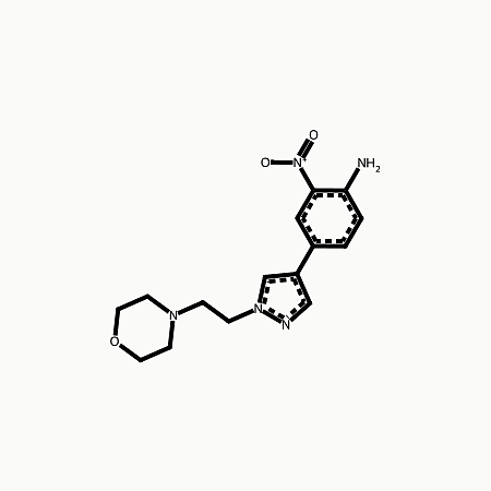 Nc1ccc(-c2cnn(CCN3CCOCC3)c2)cc1[N+](=O)[O-]